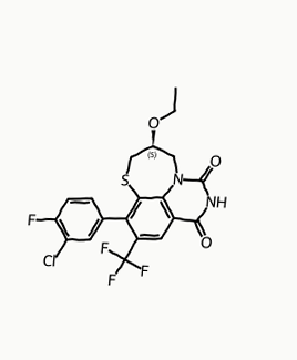 CCO[C@@H]1CSc2c(-c3ccc(F)c(Cl)c3)c(C(F)(F)F)cc3c(=O)[nH]c(=O)n(c23)C1